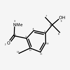 CNC(=O)c1cc(C(C)(C)O)ccc1C